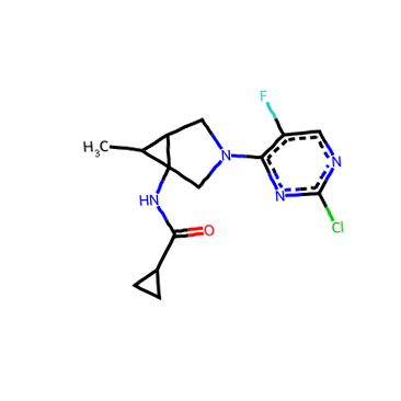 CC1C2CN(c3nc(Cl)ncc3F)CC12NC(=O)C1CC1